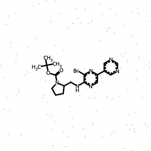 CC(C)(C)OC(=O)N1CCCC1CNc1ncc(-c2cncnc2)nc1Br